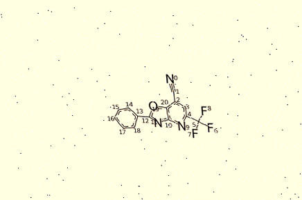 N#Cc1cc(C(F)(F)F)nc2nc(-c3ccccc3)oc12